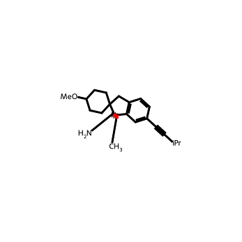 COC1CCC2(CC1)Cc1ccc(C#CC(C)C)cc1C21N=C(C)C(N)=N1